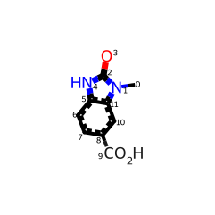 Cn1c(=O)[nH]c2ccc(C(=O)O)cc21